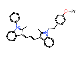 CC1=[N+](c2ccccc2)c2ccccc2/C1=C/C=C/c1c(C)n(CCc2ccc(OC(C)C)cc2)c2ccccc12